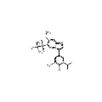 COc1cc2ncc(-c3cc(N)c(=O)n(C(F)F)c3)n2cc1S(=O)(=O)C(C)(C)C